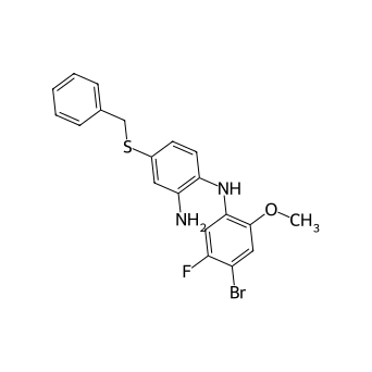 COc1cc(Br)c(F)cc1Nc1ccc(SCc2ccccc2)cc1N